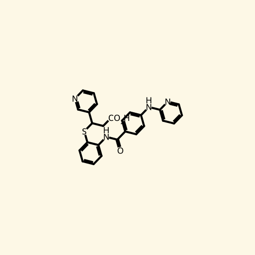 O=C(O)CC(Sc1ccccc1NC(=O)c1ccc(Nc2ccccn2)cc1)c1cccnc1